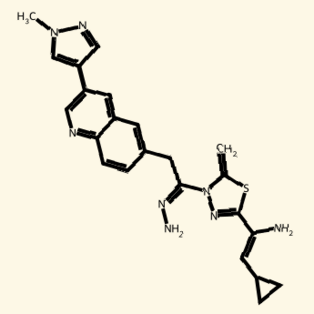 C=C1SC(/C(N)=C/C2CC2)=NN1/C(Cc1ccc2ncc(-c3cnn(C)c3)cc2c1)=N\N